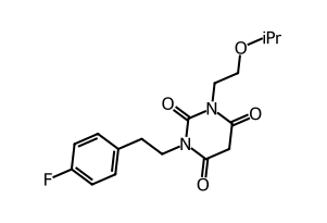 CC(C)OCCN1C(=O)CC(=O)N(CCc2ccc(F)cc2)C1=O